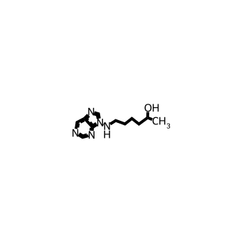 CC(O)CCCCNn1cnc2cncnc21